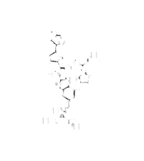 C=CC(=O)N1CCC[C@@H]1Cn1c(NC(=O)c2ccc(-c3cnco3)s2)nc2cc(CN[C@H](C)CO)ccc21